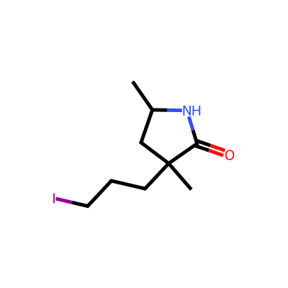 CC1CC(C)(CCCI)C(=O)N1